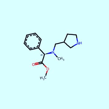 COC(=O)[C@@H](c1ccccc1)N(C)CC1CCNC1